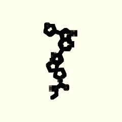 CCNC(=O)N1CCC2(CCn3nc(-c4cnc5[nH]cc(C6=CCOC6)c5c4)cc32)C1